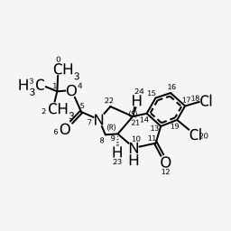 CC(C)(C)OC(=O)N1C[C@@H]2NC(=O)c3c(ccc(Cl)c3Cl)[C@H]2C1